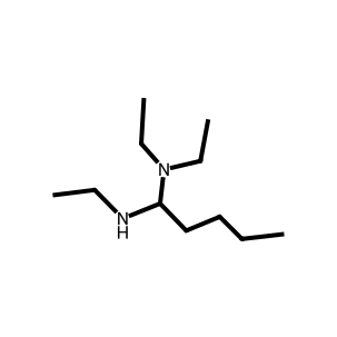 CCCCC(NCC)N(CC)CC